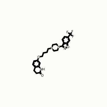 O=C1CCc2ccc(OCCCCN3CCN(c4noc5cc(C(F)(F)F)ccc45)CC3)cc2N1